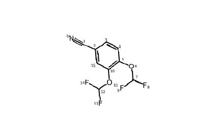 N#Cc1ccc(OC(F)F)c(OC(F)F)c1